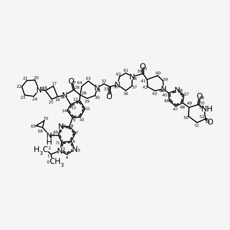 CC(C)n1cnc2cc(-c3ccc4c(c3)N(C3CC(N5CCCCC5)C3)C(=O)C43CCN(CC(=O)N4CCN(C(=O)C5CCN(c6ccc(C7CCC(=O)NC7=O)cn6)CC5)CC4)CC3)nc(NC3CC3)c21